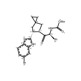 COC(=O)N[C@H](C(=O)N1CC2(CC2)C[C@H]1c1nc2ccc(Br)cc2[nH]1)C(C)C